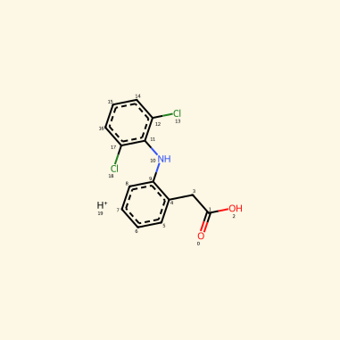 O=C(O)Cc1ccccc1Nc1c(Cl)cccc1Cl.[H+]